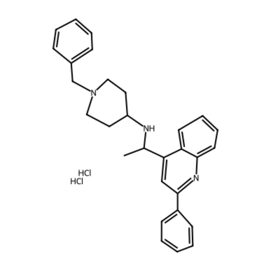 CC(NC1CCN(Cc2ccccc2)CC1)c1cc(-c2ccccc2)nc2ccccc12.Cl.Cl